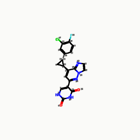 O=c1[nH]cc(-c2cc([C@H]3C[C@@H]3c3ccc(F)c(Cl)c3)c3nccn3n2)c(=O)[nH]1